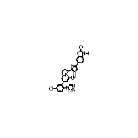 O=C1Cc2cc(-c3c[nH]c(C4CCc5cc(-c6cc(Cl)ccc6-n6cnnn6)cc(=O)n54)n3)ccc2N1